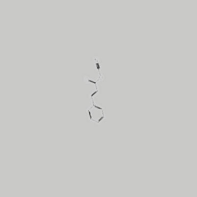 N#COC(=O)C=Cc1ccccc1